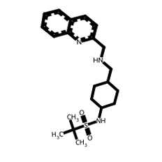 CC(C)(C)S(=O)(=O)NC1CCC(CNCc2ccc3ccccc3n2)CC1